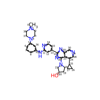 CN1CCN(c2cccc(Nc3cc(-c4nc(N5CC[C@@H](O)C5)c5c(C6CC6)cncc5n4)ccn3)c2)CC1